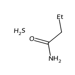 CCCC(N)=O.S